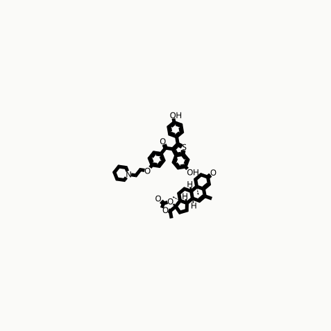 CC(=O)O[C@]1(C(C)=O)CC[C@H]2[C@@H]3C=C(C)C4=CC(=O)CC[C@]4(C)[C@H]3CC[C@@]21C.O=C(c1ccc(OCCN2CCCCC2)cc1)c1c(-c2ccc(O)cc2)sc2cc(O)ccc12